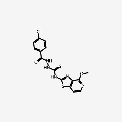 COc1nccc2sc(NC(=S)NNC(=O)c3ccc(Cl)cc3)nc12